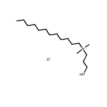 CCCCCCCCCCCC[N+](C)(C)CCCO.[Cl-]